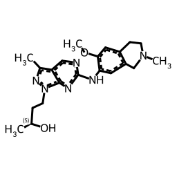 COc1cc2c(cc1Nc1ncc3c(C)nn(CC[C@H](C)O)c3n1)CN(C)CC2